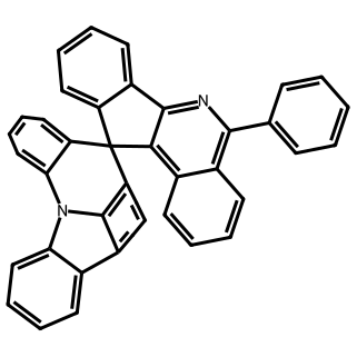 c1ccc(-c2nc3c(c4ccccc24)C2(c4ccccc4-3)c3ccccc3-n3c4ccccc4c4cccc2c43)cc1